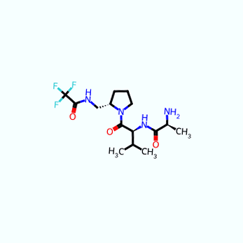 CC(C)[C@H](NC(=O)[C@H](C)N)C(=O)N1CCC[C@H]1CNC(=O)C(F)(F)F